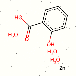 O.O.O.O=C(O)c1ccccc1O.[Zn]